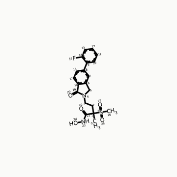 CC(CCN1Cc2cc(-c3ccccc3F)ccc2C1=O)(C(=O)NO)S(C)(=O)=O